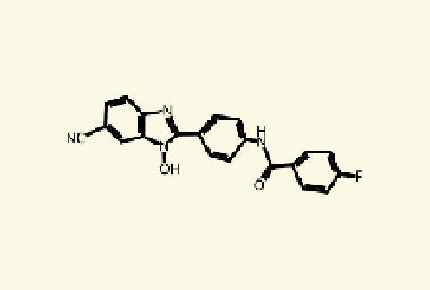 N#Cc1ccc2nc(-c3ccc(NC(=O)c4ccc(F)cc4)cc3)n(O)c2c1